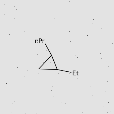 CCCC1CC1CC